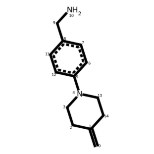 C=C1CCN(c2ccc(CN)cc2)CC1